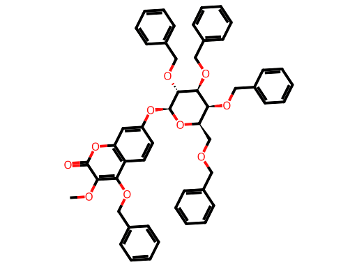 COc1c(OCc2ccccc2)c2ccc(O[C@@H]3O[C@H](COCc4ccccc4)[C@H](OCc4ccccc4)[C@H](OCc4ccccc4)[C@H]3OCc3ccccc3)cc2oc1=O